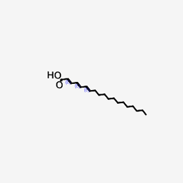 CCCCCCCCCCCC/C=C/C=C/C=C/C(=O)O